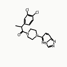 CC(C(=O)N1CCN(c2ccc3nncn3n2)CC1)c1ccc(Cl)c(Cl)c1